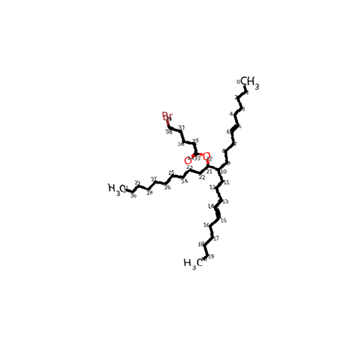 CCCCCC=CCCCC(CCCC=CCCCCC)C(CCCCCCCCCC)OC(=O)CCCCBr